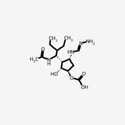 CCC(CC)C(NC(C)=O)[C@H]1[C@@H](O)[C@H](OC(=O)O)C[C@H]1N/C=N/N